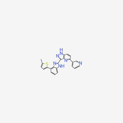 Cc1ccc(-c2cccc3[nH]c(-c4n[nH]c5ccc(-c6cccnc6)nc45)nc23)s1